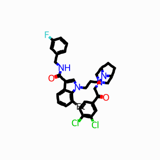 CCc1cccc2c(C(=O)NCc3cccc(F)c3)cn(CCCN3C4CCC3CN(CC(=O)c3ccc(Cl)c(Cl)c3)C4)c12